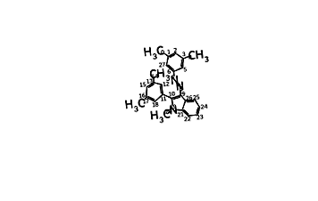 Cc1cc(C)cc(N=Nc2c(-c3cc(C)cc(C)c3)n(C)c3ccccc23)c1